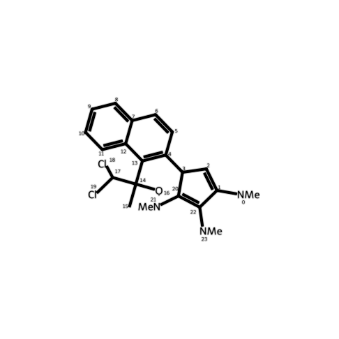 CNC1=CC(c2ccc3ccccc3c2C(C)([O])C(Cl)Cl)C(NC)=C1NC